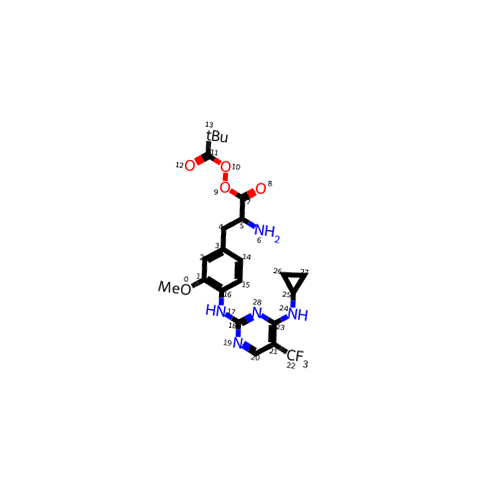 COc1cc(CC(N)C(=O)OOC(=O)C(C)(C)C)ccc1Nc1ncc(C(F)(F)F)c(NC2CC2)n1